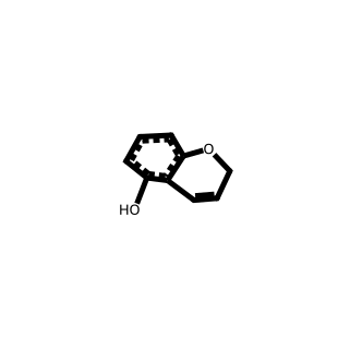 Oc1cccc2c1C=CCO2